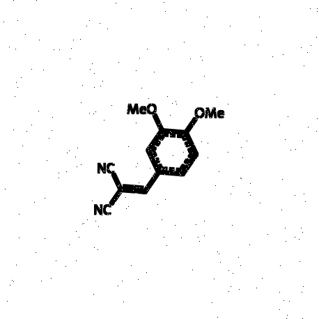 COc1ccc(C=C(C#N)C#N)cc1OC